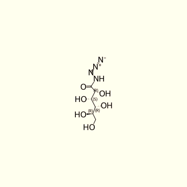 [N-]=[N+]=NNC(=O)[C@H](O)[C@@H](O)[C@H](O)[C@H](O)CO